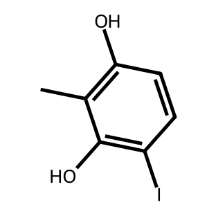 Cc1c(O)ccc(I)c1O